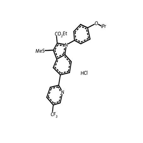 CCOC(=O)c1c(SC)c2cc(-c3ccc(C(F)(F)F)cn3)ccc2n1-c1ccc(OC(C)C)cc1.Cl